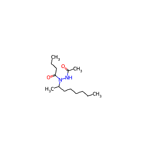 CCCCCCC(C)N(NC(C)=O)C(=O)CCC